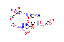 CNc1ccc(C(=O)NCCCCC(NC(=O)CCC(C)(C)OCCC(C)(C)OCCNC(=O)C(CCC(=O)O)NC(=O)CCC(NC(=O)C2CCC(CNC(=O)CC(C)(C)CC(C)(C)CC(=O)O)CC2)C(=O)O)C(N)=O)cc1